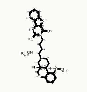 COc1cccc2c1[C@@H]1CCN(CCCCn3c(=O)[nH]c4c(sc5cccnc54)c3=O)C[C@H]1CO2.Cl.Cl